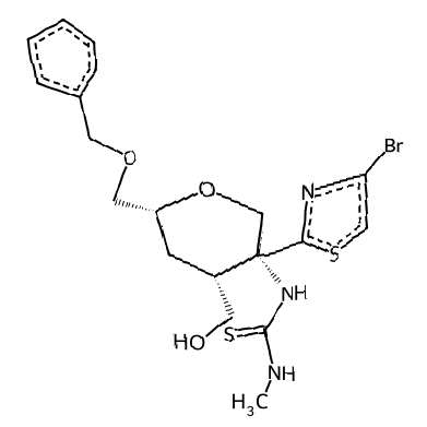 CNC(=S)N[C@@]1(c2nc(Br)cs2)CO[C@@H](COCc2ccccc2)C[C@H]1CO